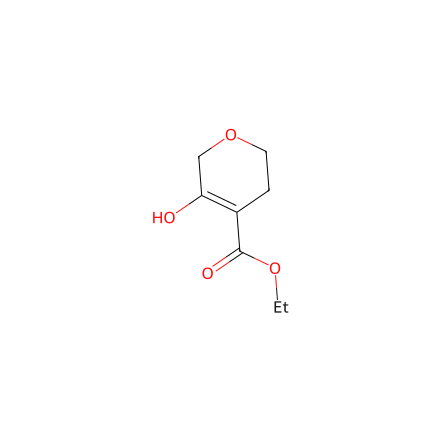 CCOC(=O)C1=C(O)COCC1